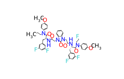 CCCN(C(=O)[C@H](Cc1cc(F)cc(F)c1)NC(=O)Cn1c(=O)n(CC(=O)N[C@@H](Cc2cc(F)cc(F)c2)C(=O)N(CCF)c2ccc(OC)cc2)c2ccccc21)c1ccc(OC)cc1